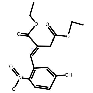 CCOC(=O)C/C(=C\c1cc(O)ccc1[N+](=O)[O-])C(=O)OCC